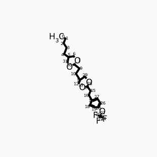 CCCCCC1COC(CCC2COC(CCc3ccc(OC(F)(F)F)cc3)OC2)OC1